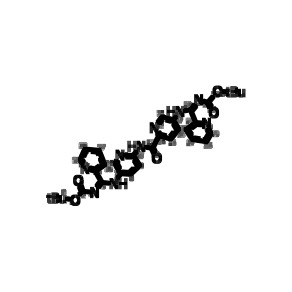 CC(C)(C)OC(=O)/N=C(/Nc1ccc(NC(=O)c2ccc(N/C(=N/C(=O)OC(C)(C)C)c3ccccn3)cn2)nc1)c1ccccn1